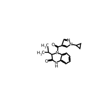 CC(C)C1C(=O)Nc2ccccc2N1C(=O)c1cnn(C2CC2)c1